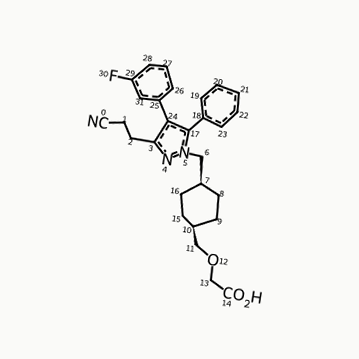 N#CCCc1nn(C[C@H]2CC[C@@H](COCC(=O)O)CC2)c(-c2ccccc2)c1-c1cccc(F)c1